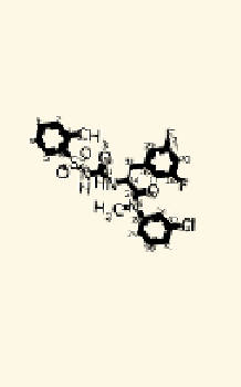 Cc1ccccc1S(=O)(=O)NC(=O)N[C@@H](Cc1cc(F)cc(F)c1)C(=O)N(C)c1cccc(Cl)c1